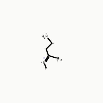 C/N=C(\N)CCN